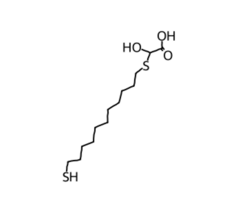 O=C(O)C(O)SCCCCCCCCCCCS